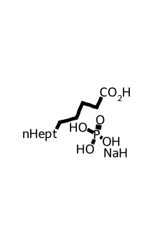 CCCCCCCCCCCC(=O)O.O=P(O)(O)O.[NaH]